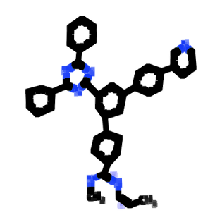 C=N/C(=N\C=C/C)c1ccc(-c2cc(-c3ccc(-c4cccnc4)cc3)cc(-c3nc(-c4ccccc4)nc(-c4ccccc4)n3)c2)cc1